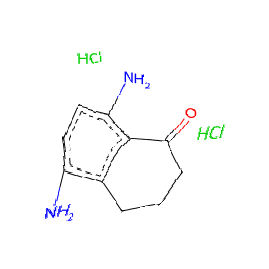 Cl.Cl.Nc1ccc(N)c2c1CCCC2=O